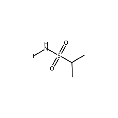 CC(C)S(=O)(=O)NI